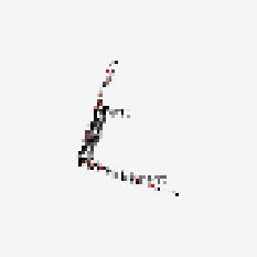 CC.CC.CC.CC.CC.CC.CC.CC.CC.CC.CC.CC.CC.CC.CC.CC.CC.CC.CC.CCC.CCC.CCC.CCC.CCC.CCC.CCC.CCC.CCC.CCC.CCC.CCC.CCC.CCC.CCC.CCC.CCC.CCC.CCC.CCCCCC.CCCCCC